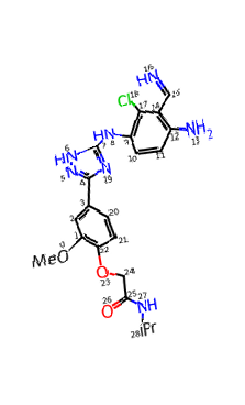 COc1cc(-c2n[nH]c(Nc3ccc(N)c(C=N)c3Cl)n2)ccc1OCC(=O)NC(C)C